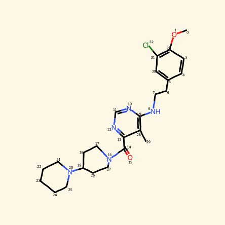 COc1ccc(CCNc2ncnc(C(=O)N3CCC(N4CCCCC4)CC3)c2C)cc1Cl